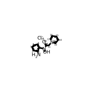 Nc1ccccc1N(O)C(=O)C[n+]1ccccc1.[Cl-]